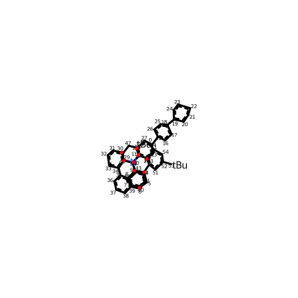 CC(C)(C)c1cc(-c2ccccc2N(c2ccc(-c3ccc(-c4ccccc4)cc3)cc2)c2ccccc2-c2cccc3cccc(C4CCCCC4)c23)cc(C(C)(C)C)c1